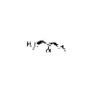 C=C[Si](O)C=C